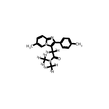 [2H]C([2H])(C(=O)N(C([2H])([2H])[2H])C([2H])([2H])[2H])c1c(-c2ccc(C)cc2)nc2ccc(C)cn12